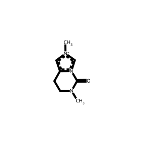 CN1CCc2c[n+](C)cn2C1=O